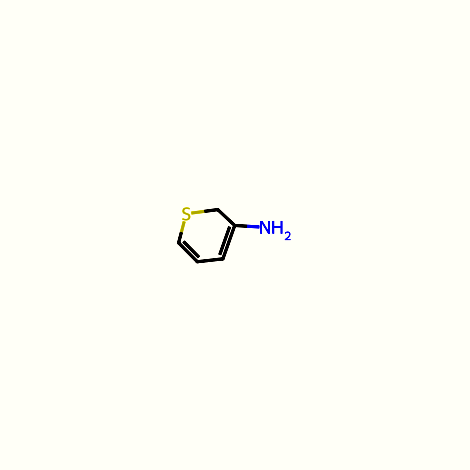 NC1=CC=CSC1